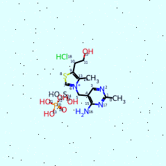 Cc1ncc(C[n+]2csc(CCO)c2C)c(N)n1.Cl.O=P(O)(O)O.O=S(=O)(O)O